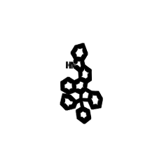 c1ccc(C2(c3ccccc3)c3ccccc3-c3c2c2ccccc2c2c3ccc3c4ccccc4[nH]c32)cc1